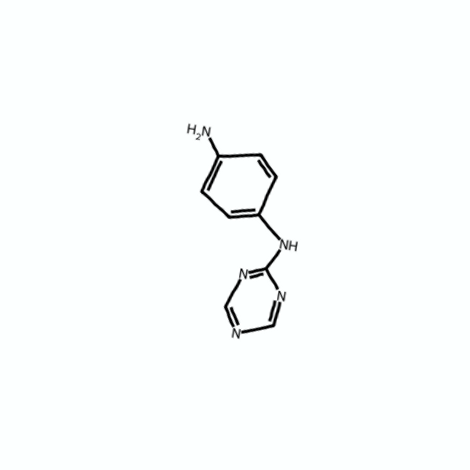 Nc1ccc(Nc2ncncn2)cc1